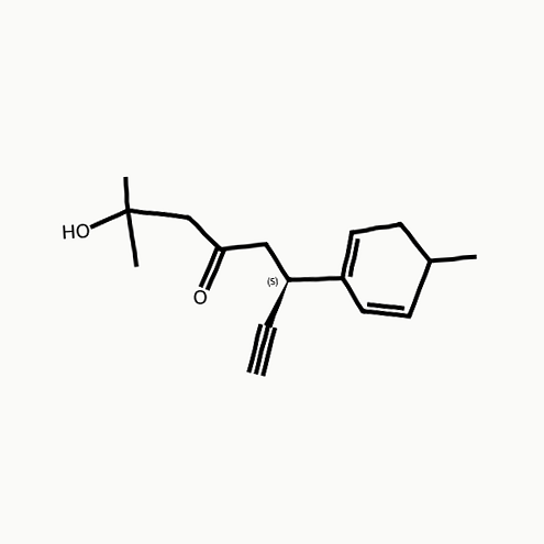 C#C[C@@H](CC(=O)CC(C)(C)O)C1=CCC(C)C=C1